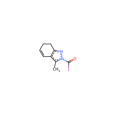 Cc1c2c(nn1C(=O)I)CCC=C2